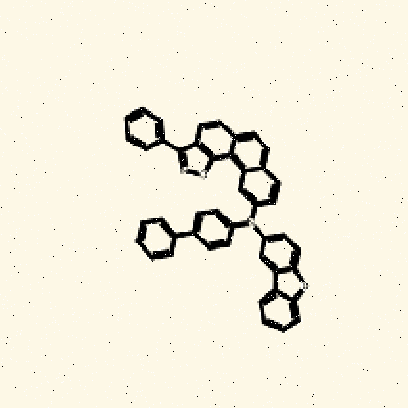 c1ccc(-c2ccc(N(c3ccc4oc5ccccc5c4c3)c3ccc4ccc5ccc6c(-c7ccccc7)noc6c5c4c3)cc2)cc1